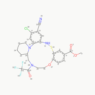 COC(=O)c1ccc2c(c1)SNc1cc(C#N)c(Cl)cc1N1CCCCC1CN(C(=O)C(F)(F)F)CCO2